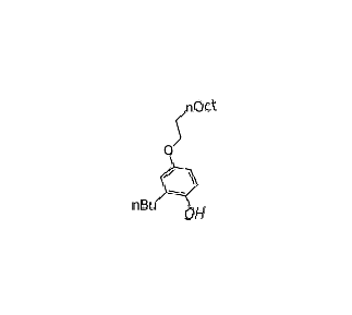 CCCCCCCCCCOc1ccc(O)c(CCCC)c1